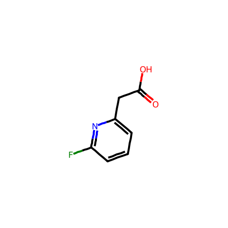 O=C(O)Cc1cccc(F)n1